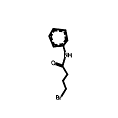 O=C(CCCBr)Nc1ccccc1